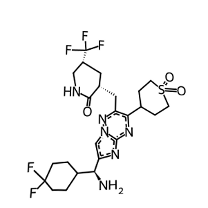 N[C@H](c1cn2nc(C[C@H]3C[C@@H](C(F)(F)F)CNC3=O)c(C3CCS(=O)(=O)CC3)nc2n1)C1CCC(F)(F)CC1